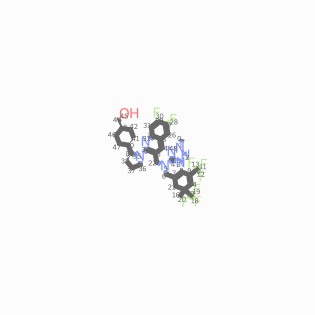 Cn1nnc(N(CC2=CC(C(F)(F)F)=CC(C)(C(F)(F)F)C2)Cc2cc3cc(F)c(F)cc3nc2N2CCC[C@@H]2[C@H]2CC[C@H](CO)CC2)n1